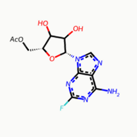 CC(=O)OC[C@H]1O[C@@H](n2cnc3c(N)nc(F)nc32)C(O)C1O